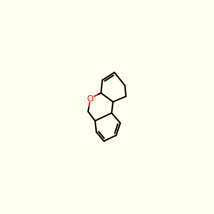 C1=CC2COC3C=CCCC3C2C=C1